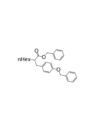 CCCCCCC(Cc1ccc(OCc2ccccc2)cc1)C(=O)OCc1ccccc1